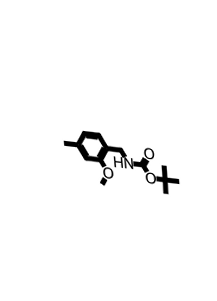 COc1cc(C)ccc1CNC(=O)OC(C)(C)C